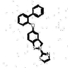 c1ccc(-c2ccccc2Oc2ccc3c(c2)CN(c2nccs2)S3)cc1